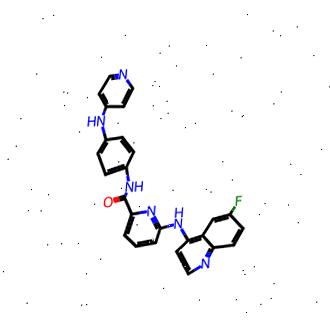 O=C(Nc1ccc(Nc2ccncc2)cc1)c1cccc(Nc2ccnc3ccc(F)cc23)n1